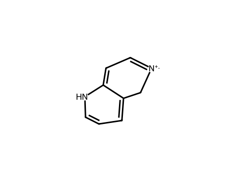 C1=CNC2=CC=[N+]CC2=C1